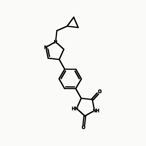 O=C1NC(=O)C(c2ccc(C3C=NN(CC4CC4)C3)cc2)N1